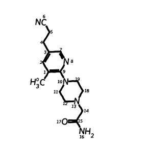 Cc1cc(CCC#N)cnc1N1CCN(CC(N)=O)CC1